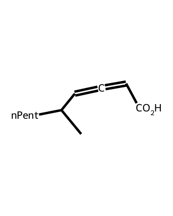 CCCCCC(C)C=C=CC(=O)O